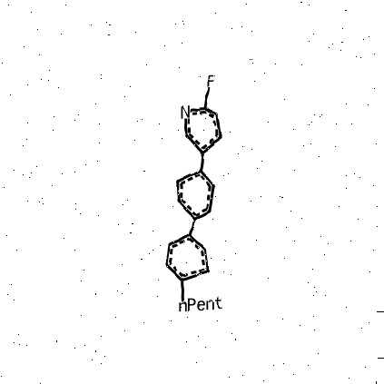 CCCCCc1ccc(-c2ccc(-c3ccc(F)nc3)cc2)cc1